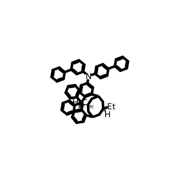 CC[C@H]1CC2C[C@@H](C)CC(C1)c1cc(N(c3ccc(-c4ccccc4)cc3)c3cccc(-c4ccccc4)c3)ccc1C(c1ccccc1)(c1ccccc1)c1ccccc12